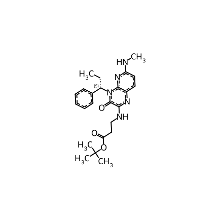 CC[C@@H](c1ccccc1)n1c(=O)c(NCCC(=O)OC(C)(C)C)nc2ccc(NC)nc21